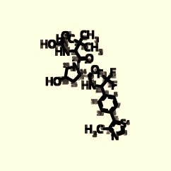 Cc1ncsc1-c1ccc(C(NC(=O)[C@@H]2C[C@@H](O)CN2C(=O)C(NC(=O)O)C(C)(C)C)C(F)(F)F)cc1